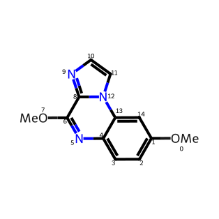 COc1ccc2nc(OC)c3nccn3c2c1